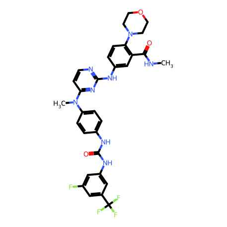 CNC(=O)c1cc(Nc2nccc(N(C)c3ccc(NC(=O)Nc4cc(F)cc(C(F)(F)F)c4)cc3)n2)ccc1N1CCOCC1